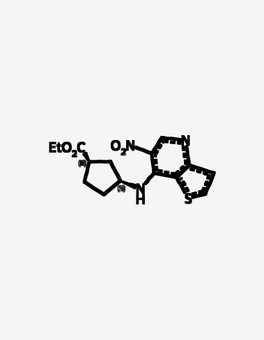 CCOC(=O)[C@@H]1CC[C@H](Nc2c([N+](=O)[O-])cnc3ccsc23)C1